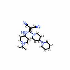 CC(C)N1CCC(NC(=C(C#N)C#N)N2CCC(N3CCCCC3)CC2)CC1